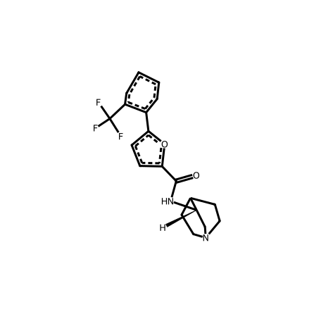 O=C(N[C@H]1CN2CCC1CC2)c1ccc(-c2ccccc2C(F)(F)F)o1